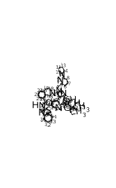 Cc1nn(Cc2cccc(N3CCCC3)n2)c(N2CCc3cccc(C(=O)Nc4nc5ccccc5s4)c3C2)c1-c1cccnc1C(=O)OC(C)(C)C